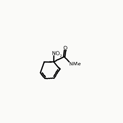 CNC(=O)C1([N+](=O)[O-])C=CC=CC1